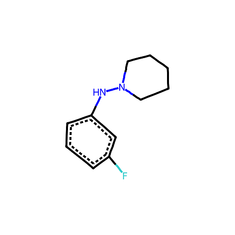 Fc1cccc(NN2CCCCC2)c1